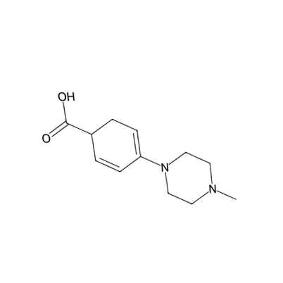 CN1CCN(C2=CCC(C(=O)O)C=C2)CC1